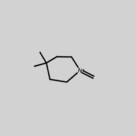 C=[N+]1CCC(C)(C)CC1